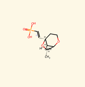 CO[C@@H]1C2OCC[C@]1(/C=C/P(=O)(O)O)O[C@H]2C